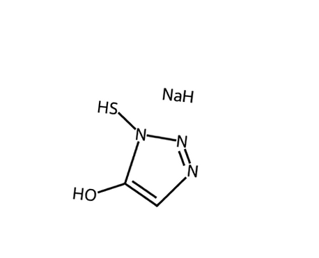 Oc1cnnn1S.[NaH]